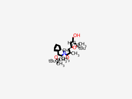 C[C@H](C[C@@H](CCCO)O[Si](C)(C)C(C)(C)C)C(=O)N(C)[C@H](C)[C@H](O[Si](C)(C)C(C)(C)C)c1ccccc1